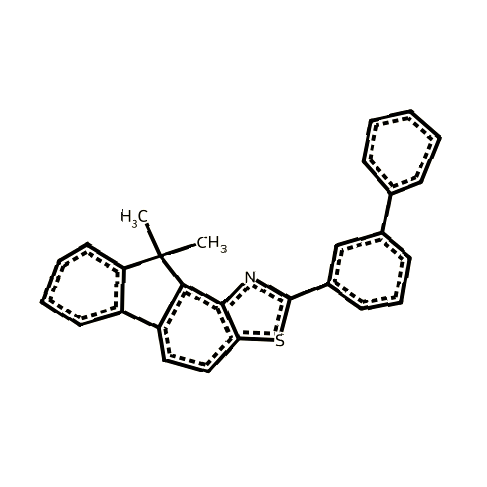 CC1(C)c2ccccc2-c2ccc3sc(-c4cccc(-c5ccccc5)c4)nc3c21